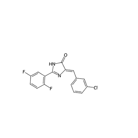 O=C1NC(c2cc(F)ccc2F)=NC1=Cc1cccc(Cl)c1